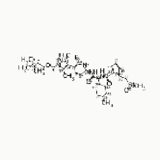 Cc1nn(COCC[Si](C)(C)C)c(C)c1-c1ccc(NC(=O)[C@@H](NC(=O)c2ccnn2CC[S+](C)[O-])[C@H]2CC[C@H](C)CC2)nc1F